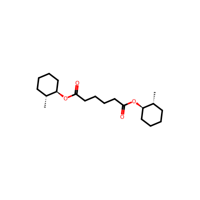 C[C@@H]1CCCC[C@H]1OC(=O)CCCCC(=O)O[C@@H]1CCCC[C@H]1C